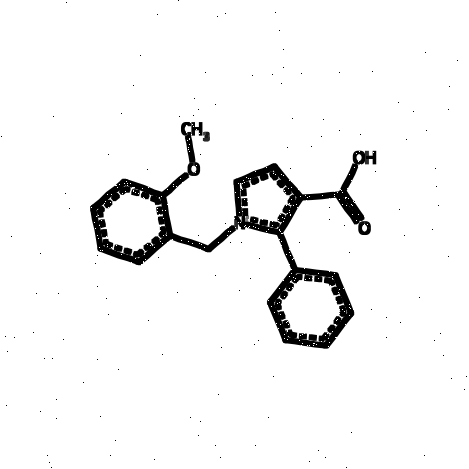 COc1ccccc1Cn1ccc(C(=O)O)c1-c1ccccc1